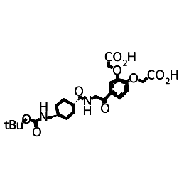 CC(C)(C)OC(=O)NC[C@H]1CC[C@H](C(=O)NCC(=O)c2ccc(OCC(=O)O)c(OCC(=O)O)c2)CC1